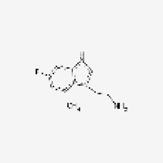 C.NCCc1c[nH]c2cc(F)ccc12